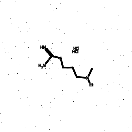 CCN(C)CCCSC(=N)N.Cl.Cl